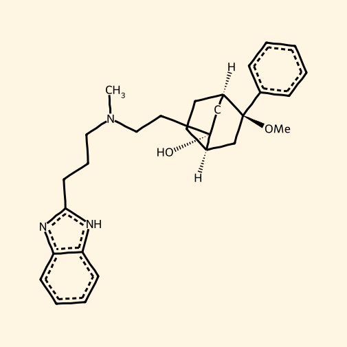 CO[C@@]1(c2ccccc2)C[C@H]2CC[C@@H]1C[C@]2(O)CCN(C)CCCc1nc2ccccc2[nH]1